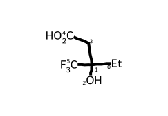 CCC(O)(CC(=O)O)C(F)(F)F